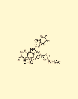 CC(=O)N[C@H]1CCN(C(=O)Cn2c(CCn3ccccc3=O)nc3c4c(ccc32)N(C=O)[C@@H](C)CC4)C1